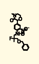 CN1CCOC(c2ccc(NCC(C)(F)COCc3ccccc3)c([N+](=O)[O-])c2)C1=O